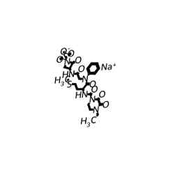 CCN1CCN(C(=O)NC(CCSC)C(=O)N(CC(=O)NC2CN(S(=O)(=O)[O-])C2=O)c2ccccc2)C(=O)C1=O.[Na+]